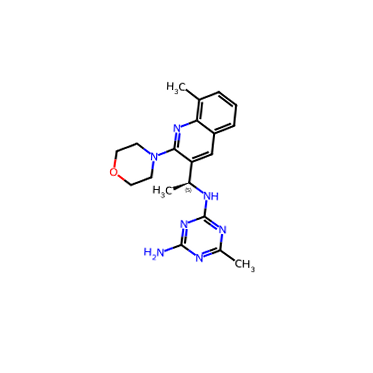 Cc1nc(N)nc(N[C@@H](C)c2cc3cccc(C)c3nc2N2CCOCC2)n1